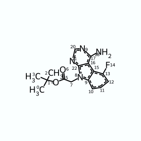 CC(C)(C)OC(=O)Cn1c2cccc(F)c2c2c(N)ncnc21